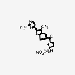 Cc1c(-c2ccnc(N)n2)sc2ccc(C(=O)N3CCC(NC(=O)O)C3)cc12